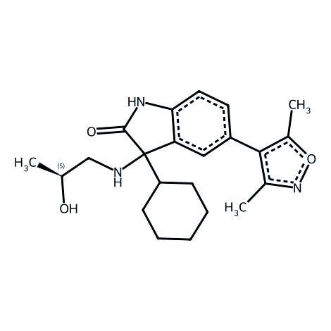 Cc1noc(C)c1-c1ccc2c(c1)C(NC[C@H](C)O)(C1CCCCC1)C(=O)N2